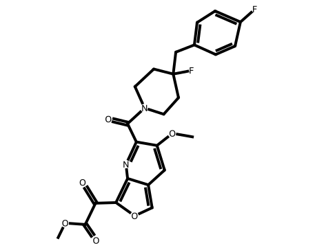 COC(=O)C(=O)c1occ2cc(OC)c(C(=O)N3CCC(F)(Cc4ccc(F)cc4)CC3)nc12